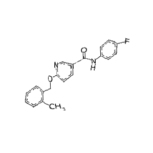 Cc1ccccc1COc1ccc(C(=O)Nc2ccc(F)cc2)cn1